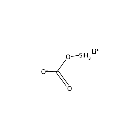 O=C([O-])O[SiH3].[Li+]